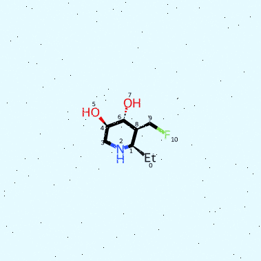 CC[C@H]1NC[C@@H](O)[C@H](O)[C@H]1CF